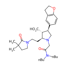 CCCCN(CCCC)C(=O)CN1C[C@H](c2ccc3c(c2)CCO3)[C@@H](C(=O)O)[C@@H]1CCN1CCC(C)(C)C1=O